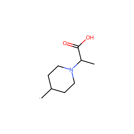 [CH2]C1CCN(C(C)C(=O)O)CC1